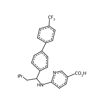 CC(C)CC(Nc1ccc(C(=O)O)cn1)c1ccc(-c2ccc(C(F)(F)F)cc2)cc1